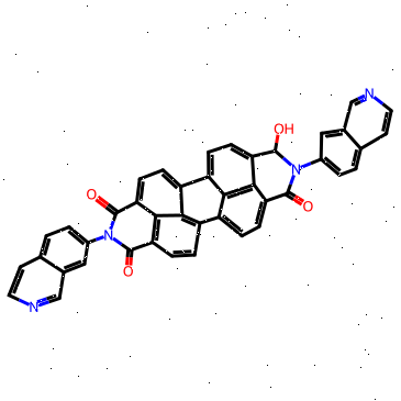 O=C1c2ccc3c4ccc5c6c(ccc(c7ccc(c2c37)C(=O)N1c1ccc2ccncc2c1)c64)C(O)N(c1ccc2ccncc2c1)C5=O